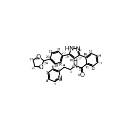 O=C(NCCc1ccccn1)c1ccccc1-c1cc(-c2ccc(C3OCCO3)cc2)[nH]n1